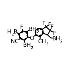 BCC1c2c(ccc(Oc3c(B)c(F)c(B)c(C#N)c3B)c2C)C(F)(F)C1(F)F